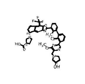 COc1nc(-c2cccc(-c3cccc(-c4nc5cc6c(c(C(F)(F)F)c5o4)CC[C@H]6N4CC[C@@H](C(=O)O)C4)c3C)c2Cl)cnc1CN1CC[C@@H](O)C1